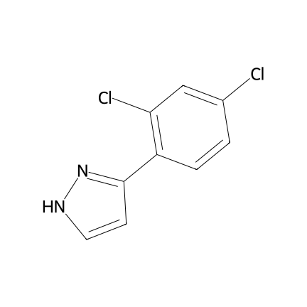 Clc1ccc(-c2cc[nH]n2)c(Cl)c1